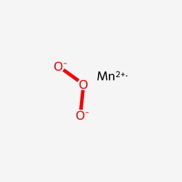 [Mn+2].[O-]O[O-]